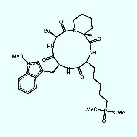 CCC(C)[C@@H]1NC(=O)[C@H](Cc2cn(OC)c3ccccc23)NC(=O)[C@H](CCCCCP(=O)(OC)OC)NC(=O)[C@H]2CCCCN2C1=O